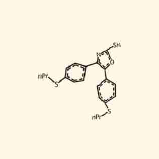 CCCSc1ccc(-c2nc(S)oc2-c2ccc(SCCC)cc2)cc1